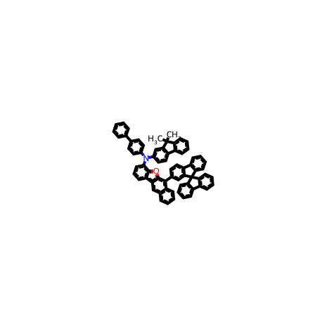 CC1(C)c2ccccc2-c2ccc(N(c3ccc(-c4ccccc4)cc3)c3cccc4c3oc3c(-c5ccc6c(c5)C5(c7ccccc7-c7ccccc75)c5ccccc5-6)c5ccccc5cc34)cc21